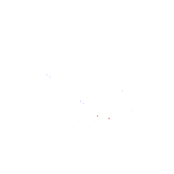 CC1(C)c2ccccc2-c2ccc(N(c3ccc(-c4cccc5ccc6oc(-c7ccccc7)nc6c45)cc3)c3ccccc3-c3ccccc3)cc21